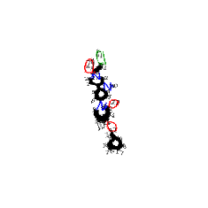 Cn1c2c(c3ccc(-n4ccc(OCc5ccccc5)cc4=O)cc31)CCN(C(=O)CCl)C2